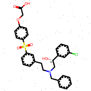 O=C(O)COc1ccc(S(=O)(=O)c2cccc(CCN(Cc3ccccc3)C[C@H](O)c3cccc(Cl)c3)c2)cc1